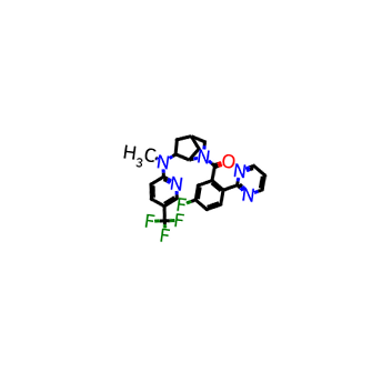 CN(c1ccc(C(F)(F)F)cn1)C1CC2CC1N(C(=O)c1cc(F)ccc1-c1ncccn1)C2